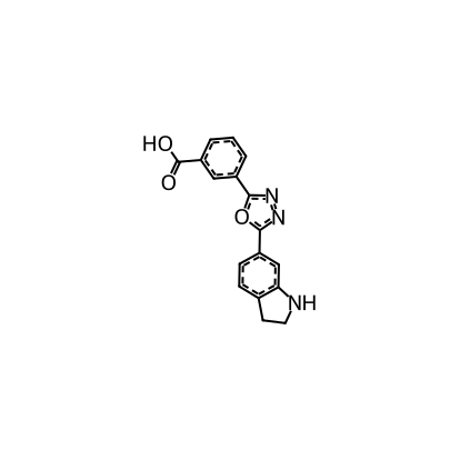 O=C(O)c1cccc(-c2nnc(-c3ccc4c(c3)NCC4)o2)c1